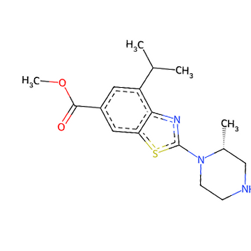 COC(=O)c1cc(C(C)C)c2nc(N3CCNC[C@H]3C)sc2c1